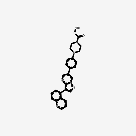 CC(C)(C)OC(=O)N1CCN(c2ccc(-c3cnc4c(-c5cccc6ncccc56)cnn4c3)cc2)CC1